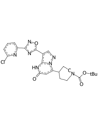 CC(C)(C)OC(=O)N1CCC(c2cc(=O)[nH]c3c(-c4nc(-c5cccc(Cl)n5)no4)cnn23)CC1